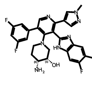 Cn1cc(-c2ncc(-c3cc(F)cc(F)c3)c(N3CC[C@@H](N)[C@@H](O)C3)c2-c2nc3cc(F)c(F)cc3[nH]2)cn1